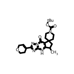 CC1CC2(CCN(C(=O)OC(C)(C)C)CC2)c2c1[nH]c1nc(C3=CCOCC3)nn1c2=O